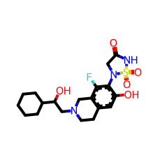 O=C1CN(c2c(O)cc3c(c2F)CN(CC(O)C2CCCCC2)CC3)S(=O)(=O)N1